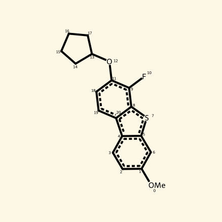 COc1ccc2c(c1)sc1c(F)c(OC3CCCC3)ccc12